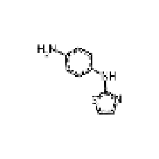 Nc1ccc(Nc2nccs2)cc1